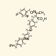 CC(=NOCc1ccc(F)cc1F)C(Cc1ccc(OCc2cnn(-c3ccc(CC(C)C)cc3)c2)cc1)C(=O)O